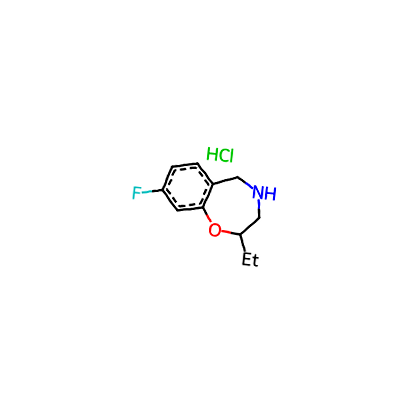 CCC1CNCc2ccc(F)cc2O1.Cl